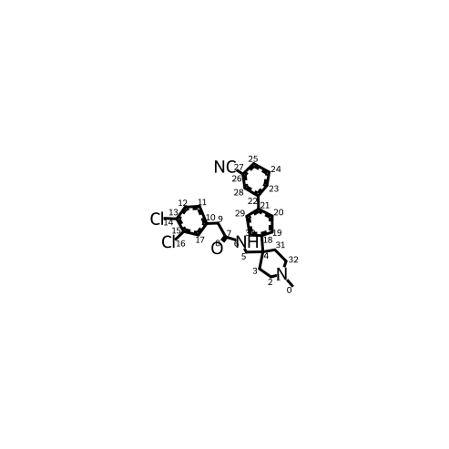 CN1CCC(CNC(=O)Cc2ccc(Cl)c(Cl)c2)(c2ccc(-c3cccc(C#N)c3)cc2)CC1